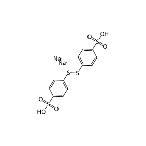 O=S(=O)(O)c1ccc(SSc2ccc(S(=O)(=O)O)cc2)cc1.[Na].[Na]